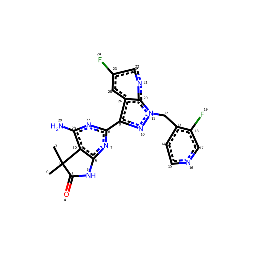 CC1(C)C(=O)Nc2nc(-c3nn(Cc4ccncc4F)c4ncc(F)cc34)nc(N)c21